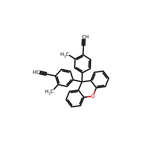 C#Cc1ccc(C2(c3ccc(C#C)c(C)c3)c3ccccc3Oc3ccccc32)cc1C